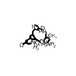 Cc1cc(N)nc2c1CNC(=O)c1ccnc(c1)Cc1cc(c3ncc(Cl)cc3c1)C(C)(C)O2